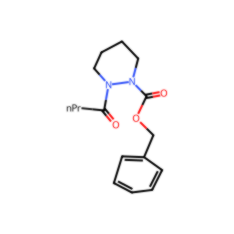 CCCC(=O)N1CCCCN1C(=O)OCc1ccccc1